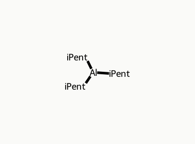 CCC[CH](C)[Al]([CH](C)CCC)[CH](C)CCC